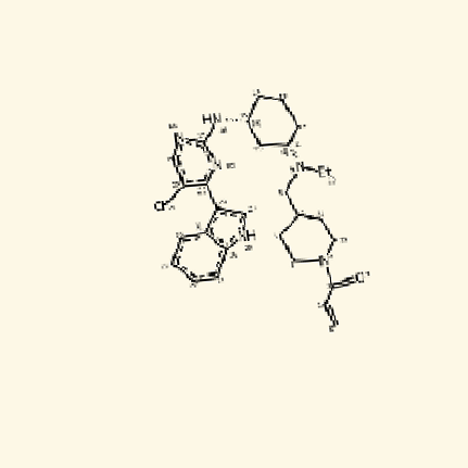 C=CC(=O)N1CCC(CN(CC)[C@H]2CCC[C@@H](Nc3ncc(Cl)c(-c4c[nH]c5ccccc45)n3)C2)CC1